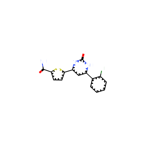 NC(=O)c1ccc(-c2cc(-c3ccccc3Cl)[nH]c(=O)n2)s1